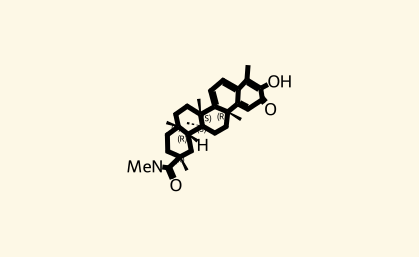 CNC(=O)[C@]1(C)CC[C@]2(C)CC[C@]3(C)C4=CC=C5C(=CC(=O)C(O)=C5C)[C@]4(C)CC[C@@]3(C)[C@@H]2C1